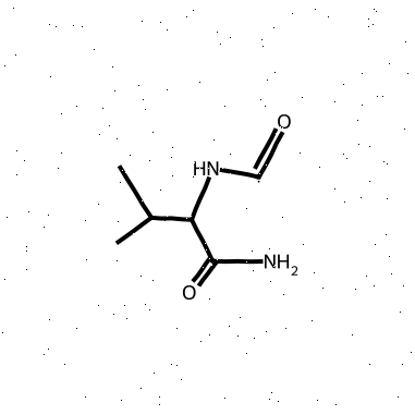 CC(C)C(N[C]=O)C(N)=O